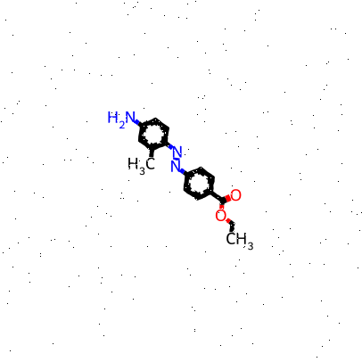 CCOC(=O)c1ccc(/N=N/c2ccc(N)cc2C)cc1